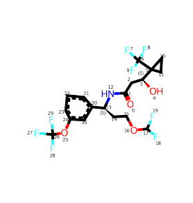 O=C(C[C@H](O)C1(C(F)(F)F)CC1)N[C@@H](CCOC(F)F)c1cccc(OC(F)(F)F)c1